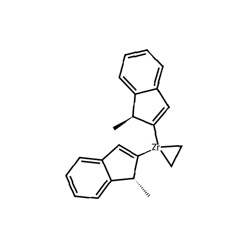 C[C@@H]1[C]([Zr]2([C]3=Cc4ccccc4[C@H]3C)[CH2][CH2]2)=Cc2ccccc21